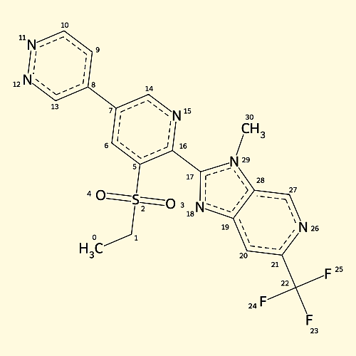 CCS(=O)(=O)c1cc(-c2ccnnc2)cnc1-c1nc2cc(C(F)(F)F)ncc2n1C